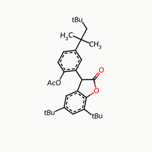 CC(=O)Oc1ccc(C(C)(C)CC(C)(C)C)cc1C1C(=O)Oc2c1cc(C(C)(C)C)cc2C(C)(C)C